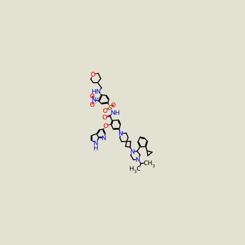 CC(C)N1CCN(C2CC3(CCN(c4ccc(C(=O)NS(=O)(=O)c5ccc(NCC6CCOCC6)c([N+](=O)[O-])c5)c(Oc5cnc6[nH]ccc6c5)c4)CC3)C2)C(c2ccccc2C2CC2)C1